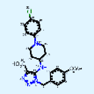 COc1ccc(Cn2nnc(C(=O)O)c2NC2CCN(c3ccc(Cl)cc3)CC2)cc1